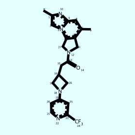 Cc1cn2c3c(c(C)cc2n1)CN(C(=O)CC1CN(c2ccnc(C(F)(F)F)c2)C1)C3